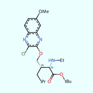 CCN[C@H](C(=O)OC(C)(C)C)[C@@H](COc1nc2cc(OC)ccc2nc1Cl)CC(C)C